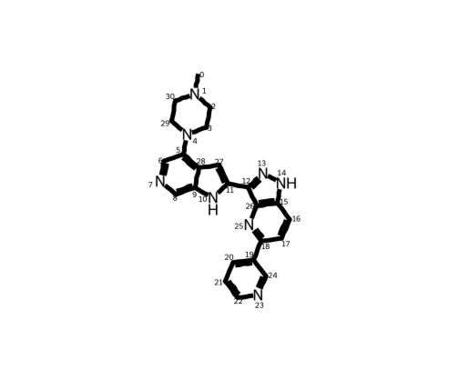 CN1CCN(c2cncc3[nH]c(-c4n[nH]c5ccc(-c6cccnc6)nc45)cc23)CC1